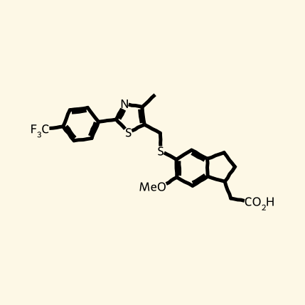 COc1cc2c(cc1SCc1sc(-c3ccc(C(F)(F)F)cc3)nc1C)CCC2CC(=O)O